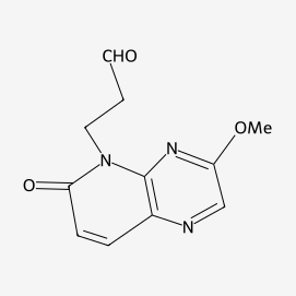 COc1cnc2ccc(=O)n(CCC=O)c2n1